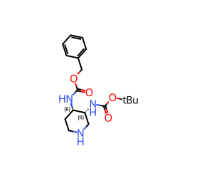 CC(C)(C)OC(=O)N[C@@H]1CNCC[C@H]1NC(=O)OCc1ccccc1